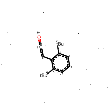 CC(C)(C)c1cccc(C(C)(C)C)c1C=C=O